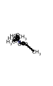 CCCCCCCCCOc1ccc(C(=O)/C=C/c2cc(C)c(C(=O)O)c(C)c2OC(C)C)cc1